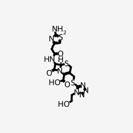 Nc1nc(CC(=O)NC2C(=O)N3C(C(=O)O)=C(CSc4nnnn4CCO)CS[C@@H]23)cs1